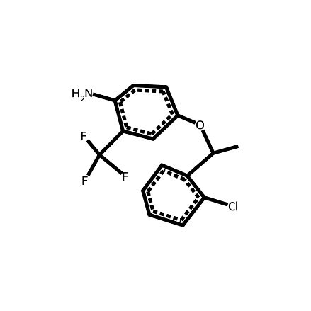 CC(Oc1ccc(N)c(C(F)(F)F)c1)c1ccccc1Cl